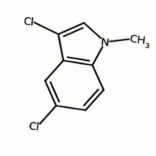 Cn1cc(Cl)c2cc(Cl)ccc21